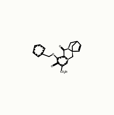 CCOC(=O)c1cn2c(c(OCc3ccccc3)c1=O)C(=O)N1CC3C=C[C@]1(C3)C2